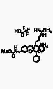 COC(=O)NCc1ccc(CN(C(=O)C(c2ccccc2)c2ccccc2)[C@H](CCCNC(=N)N)C(N)=O)cc1.O=C(O)C(F)(F)F